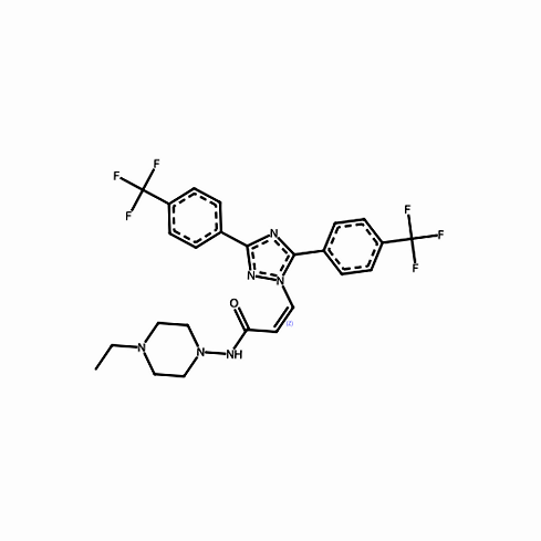 CCN1CCN(NC(=O)/C=C\n2nc(-c3ccc(C(F)(F)F)cc3)nc2-c2ccc(C(F)(F)F)cc2)CC1